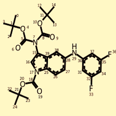 CC(C)(C)OC(=O)N(C(=O)OC(C)(C)C)c1cn(C(=O)OC(C)(C)C)c2ccc(Nc3cc(F)cc(F)c3)cc12